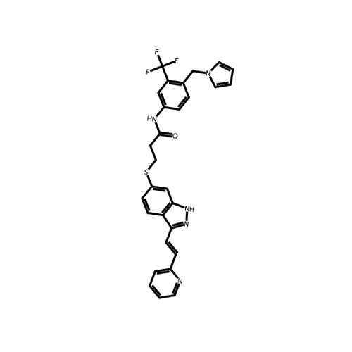 O=C(CCSc1ccc2c(C=Cc3ccccn3)n[nH]c2c1)Nc1ccc(Cn2cccc2)c(C(F)(F)F)c1